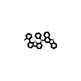 Cc1ccccc1-c1cccc2c1oc1c(N(c3ccccc3)c3cc4c5ccccc5oc4c4ccccc34)cccc12